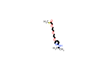 CSC(=O)COCCCOCCCOc1ccc(NC(C)C)nc1